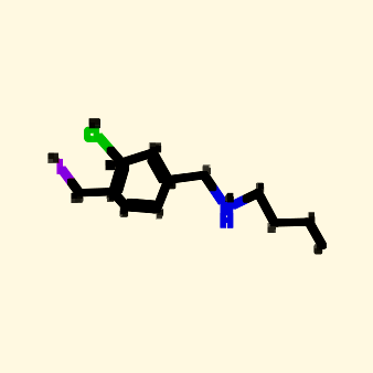 CCCCNCc1ccc(CI)c(Cl)c1